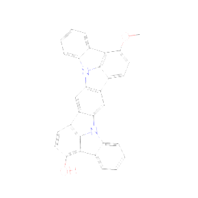 COc1ccc2c3cc4c(cc3n3c5ccccc5c1c23)c1ccc(O)c2c3ccccc3n4c12